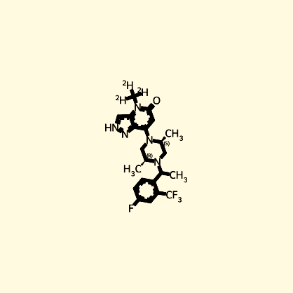 [2H]C([2H])([2H])n1c(=O)cc(N2C[C@@H](C)N(C(C)c3ccc(F)cc3C(F)(F)F)C[C@@H]2C)c2n[nH]cc21